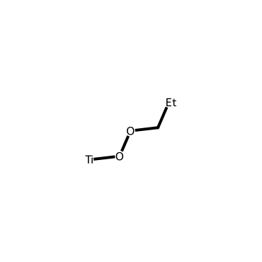 CCCO[O][Ti]